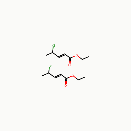 CCOC(=O)C=CC(C)Br.CCOC(=O)C=CC(C)Cl